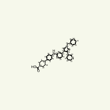 O=C(O)N1CCN(c2ccc(Nc3nccc(-c4cn(Cc5cccnc5)nc4-c4cccnc4)n3)cc2)CC1